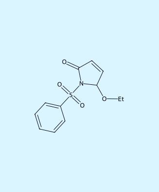 CCOC1C=CC(=O)N1S(=O)(=O)c1ccccc1